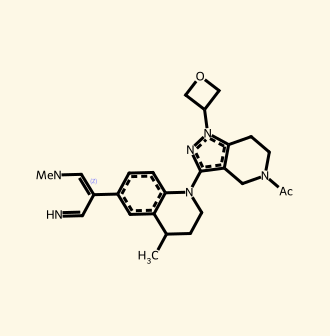 CN/C=C(\C=N)c1ccc2c(c1)C(C)CCN2c1nn(C2COC2)c2c1CN(C(C)=O)CC2